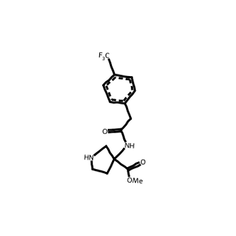 COC(=O)C1(NC(=O)Cc2ccc(C(F)(F)F)cc2)CCNC1